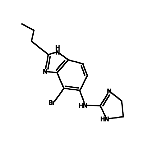 CCCc1nc2c(Br)c(NC3=NCCN3)ccc2[nH]1